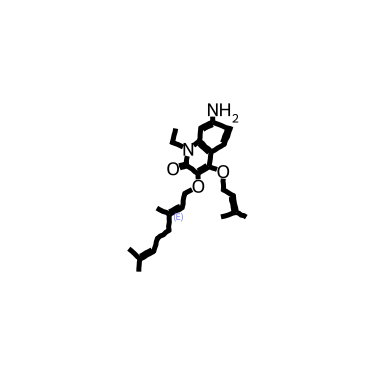 CCn1c(=O)c(OC/C=C(\C)CCC=C(C)C)c(OCC=C(C)C)c2ccc(N)cc21